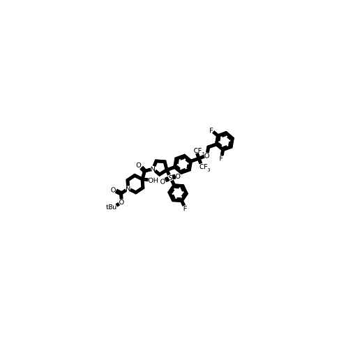 CC(C)(C)OC(=O)N1CCC(O)(C(=O)N2CCC(c3ccc(C(OCc4c(F)cccc4F)(C(F)(F)F)C(F)(F)F)cc3)(S(=O)(=O)c3ccc(F)cc3)C2)CC1